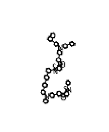 c1ccc(-c2ccc(N(c3ccc(-c4ccc5c(c4)oc4ccc6nc(-c7cccc(-c8ccc(-c9ccc(-c%10cccc(N(c%11ccccc%11)c%11ccc(-c%12ccc%13c(c%12)oc%12ccc%14nc(-c%15ccccc%15)sc%14c%12%13)cc%11)c%10)cc9)cc8)c7)sc6c45)cc3)c3ccc(-c4cccc5ccccc45)cc3)cc2)cc1